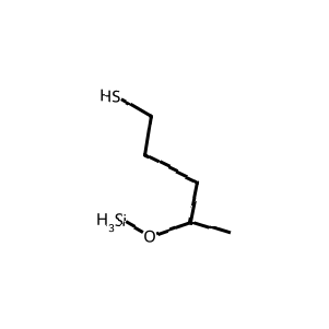 CC(CCCS)O[SiH3]